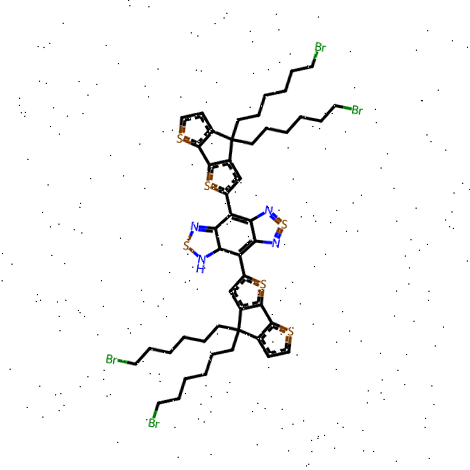 BrCCCCCCC1(CCCCCCBr)c2ccsc2-c2sc(C3=C4N=S=NC4=C(c4cc5c(s4)-c4sccc4C5(CCCCCCBr)CCCCCCBr)C4NSN=C34)cc21